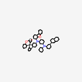 c1ccc(N(c2cccc(-c3ccc4ccccc4c3)c2)c2cccc(N(c3ccc4c(c3)C3(c5ccccc5Oc5ccccc53)c3ccccc3-4)c3cccc4c3oc3ccccc34)c2)cc1